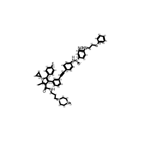 Cc1c(C(=O)NCCCN2CCN(C)CC2)c(-c2cccc(C#Cc3ccc(N[S+]([O-])c4ccc(NCCSc5ccccc5)c([N+](=O)[O-])c4)cc3)c2)c(-c2ccc(F)cc2)n1C1CC1